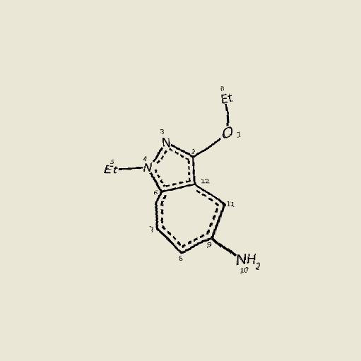 CCOc1nn(CC)c2ccc(N)cc12